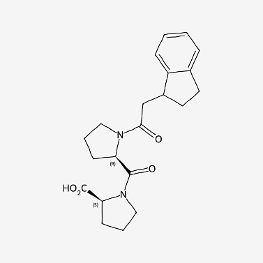 O=C(O)[C@@H]1CCCN1C(=O)[C@H]1CCCN1C(=O)CC1CCc2ccccc21